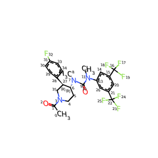 CC(=O)N1CC[C@@H](N(C)C(=O)N(C)c2cc(C(F)(F)F)cc(C(F)(F)F)c2)[C@H](c2ccc(F)cc2)C1